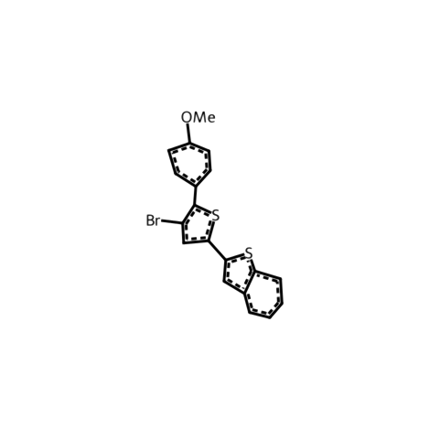 COc1ccc(-c2sc(-c3cc4ccccc4s3)cc2Br)cc1